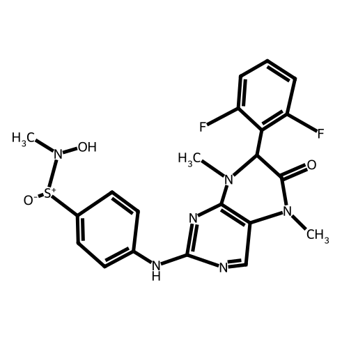 CN1C(=O)C(c2c(F)cccc2F)N(C)c2nc(Nc3ccc([S+]([O-])N(C)O)cc3)ncc21